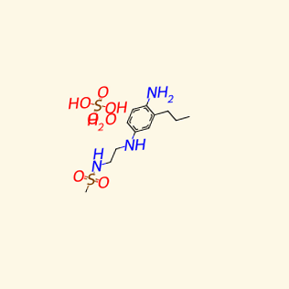 CCCc1cc(NCCNS(C)(=O)=O)ccc1N.O.O=S(=O)(O)O